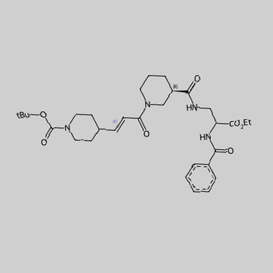 CCOC(=O)C(CNC(=O)[C@@H]1CCCN(C(=O)/C=C/C2CCN(C(=O)OC(C)(C)C)CC2)C1)NC(=O)c1ccccc1